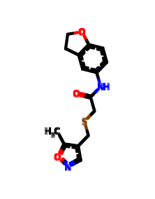 Cc1oncc1CSCC(=O)Nc1ccc2c(c1)CCO2